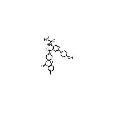 CNC(=O)Nc1cnc(N2CCC(O)CC2)cc1C(=O)N1CCC2(CC1)CC(=O)c1cc(C)ccc1O2